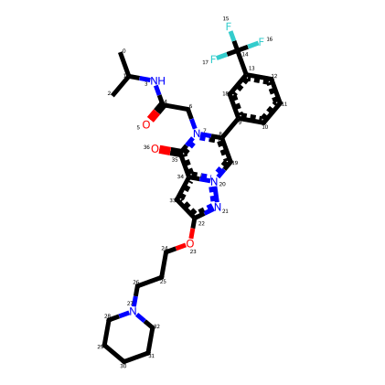 CC(C)NC(=O)Cn1c(-c2cccc(C(F)(F)F)c2)cn2nc(OCCCN3CCCCC3)cc2c1=O